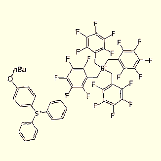 CCCCOc1ccc([S+](c2ccccc2)c2ccccc2)cc1.Fc1c(F)c(F)c(C[B-](Cc2c(F)c(F)c(F)c(F)c2F)(Cc2c(F)c(F)c(F)c(F)c2F)Cc2c(F)c(F)c(F)c(F)c2F)c(F)c1F